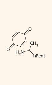 CCCCCC(C)N.O=C1C=CC(=O)C=C1